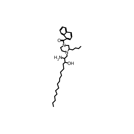 CCCCCCCCCCCCCCC(O)C(N)CN1CCN(C(=O)c2cccc3ccccc23)CC1CCCC